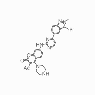 CC(=O)c1c(N2CCNCC2)c2ccc(Nc3nccc(-c4ccc5nn(C)c(C(C)C)c5c4)n3)cc2oc1=O